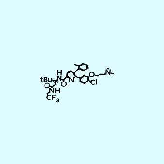 Cc1ccccc1-c1ccc(C(=O)N[C@@H](CC(=O)NCC(F)(F)F)C(C)(C)C)nc1-c1ccc(Cl)c(OCCCN(C)C)c1